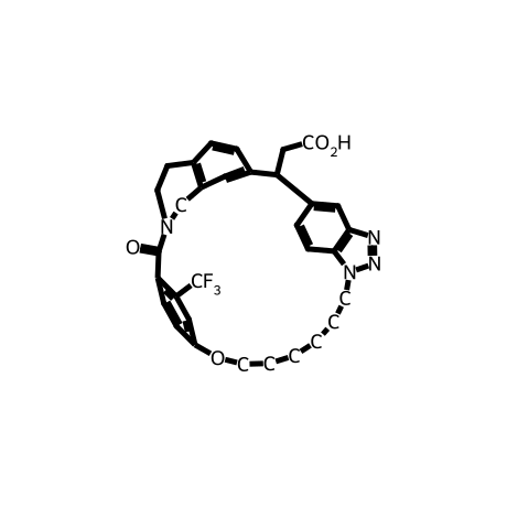 O=C(O)CC1c2ccc3c(c2)CN(CC3)C(=O)c2ccc(cc2C(F)(F)F)OCCCCCCn2nnc3cc1ccc32